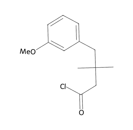 COc1cccc(CC(C)(C)CC(=O)Cl)c1